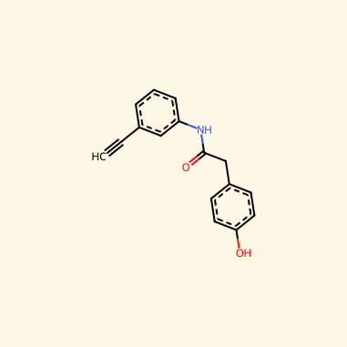 C#Cc1cccc(NC(=O)Cc2ccc(O)cc2)c1